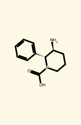 N[C@H]1CCCN(C(=O)O)[C@@H]1c1ccccc1